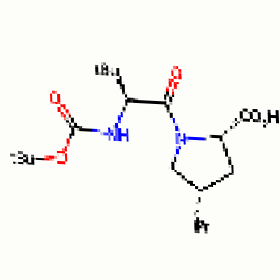 CC(C)[C@H]1C[C@@H](C(=O)O)N(C(=O)[C@@H](NC(=O)OC(C)(C)C)C(C)(C)C)C1